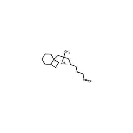 CC(C)(CC12CCCCC1CC2)OCCCCN=O